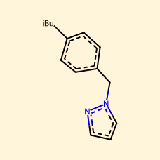 CCC(C)c1ccc(Cn2cccn2)cc1